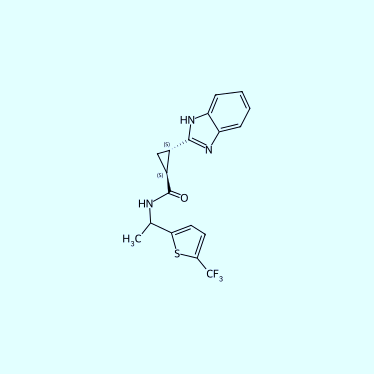 CC(NC(=O)[C@H]1C[C@@H]1c1nc2ccccc2[nH]1)c1ccc(C(F)(F)F)s1